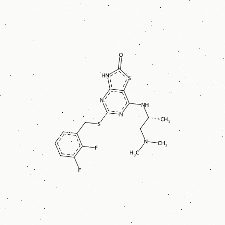 C[C@H](CN(C)C)Nc1nc(SCc2cccc(F)c2F)nc2[nH]c(=O)sc12